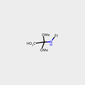 CCNC(OC)(OC)C(=O)O